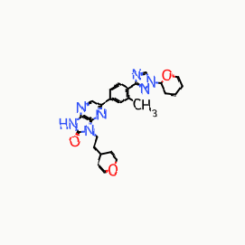 Cc1cc(-c2cnc3[nH]c(=O)n(CCC4CCOCC4)c3n2)ccc1-c1ncn(C2CCCCO2)n1